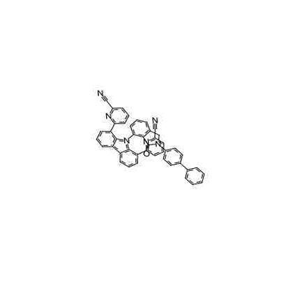 N#Cc1cccc(-c2cccc3c4cccc(-c5cccc(C#N)n5)c4n(-c4cccc5c4C(=O)N(c4ccc(-c6ccccc6)cc4)C5)c23)n1